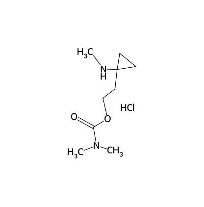 CNC1(CCOC(=O)N(C)C)CC1.Cl